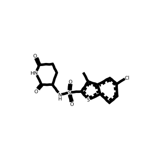 Cc1c(S(=O)(=O)NC2CCC(=O)NC2=O)sc2ccc(Cl)cc12